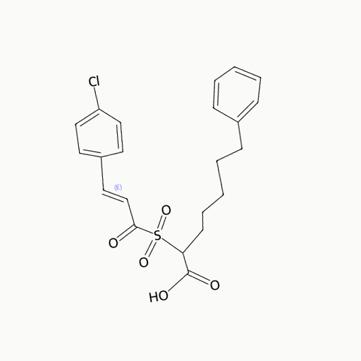 O=C(O)C(CCCCCc1ccccc1)S(=O)(=O)C(=O)/C=C/c1ccc(Cl)cc1